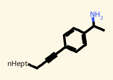 CCCCCCCCC#Cc1ccc(C(C)N)cc1